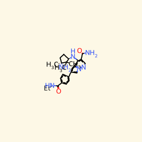 CCNC(=O)c1ccc(-c2cc3c(N[C@@H]4CC[C@](C)(N)C4(C)C)c(C(N)=O)cnn3c2)cc1